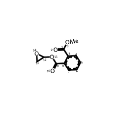 COC(=O)c1ccccc1C(=O)OC1CO1